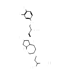 CCCC(CC[C@@H]1CC[C@@H]2[C@@H](/C=C/[C@@H](O)COc3ccc(F)c(F)c3)[C@H](O)C[C@@H]2OC1)C(=O)O